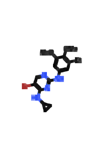 CCc1cc(Nc2ncc(Br)c(NC3CC3)n2)cc(OC)c1OC